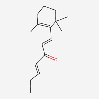 CCC=CC(=O)C=CC1=C(C)CCCC1(C)C